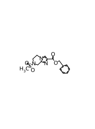 CS(=O)(=O)N1CCn2cc(C(=O)OCc3ccccc3)nc2C1